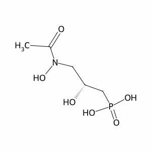 CC(=O)N(O)C[C@@H](O)CP(=O)(O)O